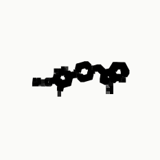 COc1nnc(N2CCN(Cc3c[nH]c4ncccc34)CC2)cc1I